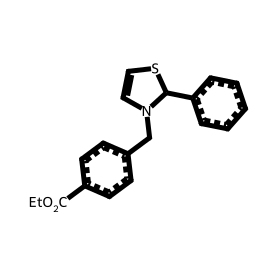 CCOC(=O)c1ccc(CN2C=CSC2c2ccccc2)cc1